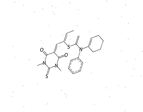 C=C(S/C(C=C1C(=O)N(C)C(=S)N(C)C1=O)=C\C)N(C1=CCCCC1)c1ccccc1